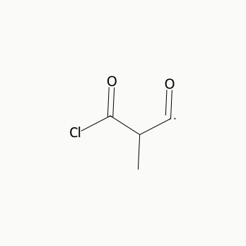 CC([C]=O)C(=O)Cl